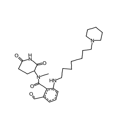 CN(C(=O)c1c(C=O)cccc1NCCCCCCCN1CCCCC1)C1CCC(=O)NC1=O